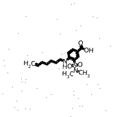 C=CCCCCCNc1ccc(C(=O)O)cc1S(=O)(=O)N(C)C